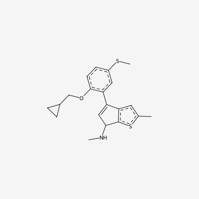 CNC1C=C(c2cc(SC)ccc2OCC2CC2)c2cc(C)sc21